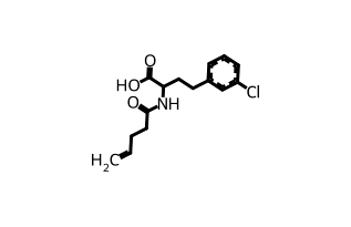 C=CCCC(=O)NC(CCc1cccc(Cl)c1)C(=O)O